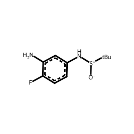 CC(C)(C)[S+]([O-])Nc1ccc(F)c(N)c1